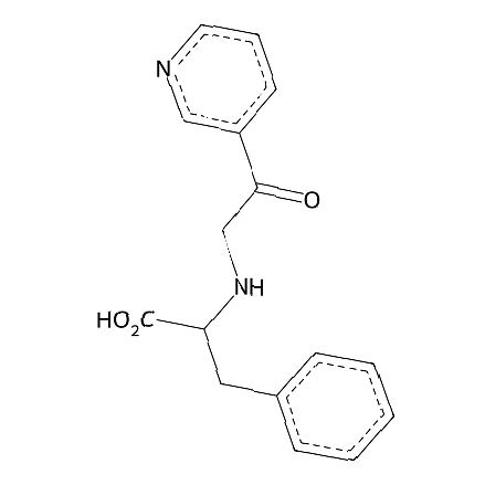 O=C(CNC(Cc1ccccc1)C(=O)O)c1cccnc1